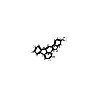 Clc1ccc2c(c1)sc1c3cccc4c3c(cc21)-c1ccccc1-4